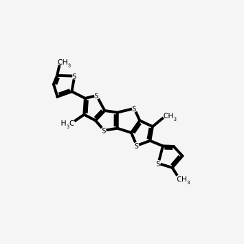 Cc1ccc(-c2sc3c(sc4c5sc(-c6ccc(C)s6)c(C)c5sc34)c2C)s1